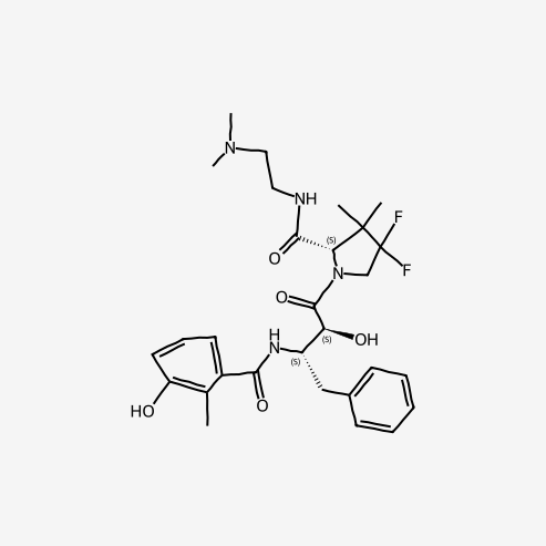 Cc1c(O)cccc1C(=O)N[C@@H](Cc1ccccc1)[C@H](O)C(=O)N1CC(F)(F)C(C)(C)[C@H]1C(=O)NCCN(C)C